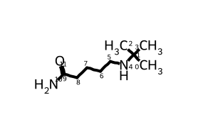 CC(C)(C)NCCCCC(N)=O